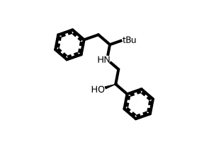 CC(C)(C)C(Cc1ccccc1)NC[C@H](O)c1ccccc1